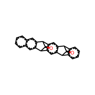 O=C1C2c3ccccc3C1c1cc3c(cc12)C1C(=O)C3c2cc3ccccc3cc21